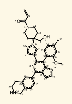 C=CC(=O)N1CCC(CO)(n2cc(-c3nc(-c4ccc5c(c4)CCNC5)c4ccsc4c3-c3ccc(F)cc3OC)cn2)CC1